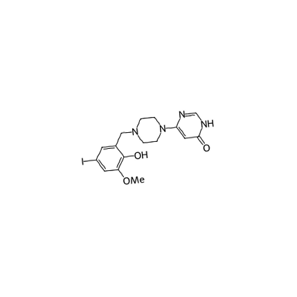 COc1cc(I)cc(CN2CCN(c3cc(=O)[nH]cn3)CC2)c1O